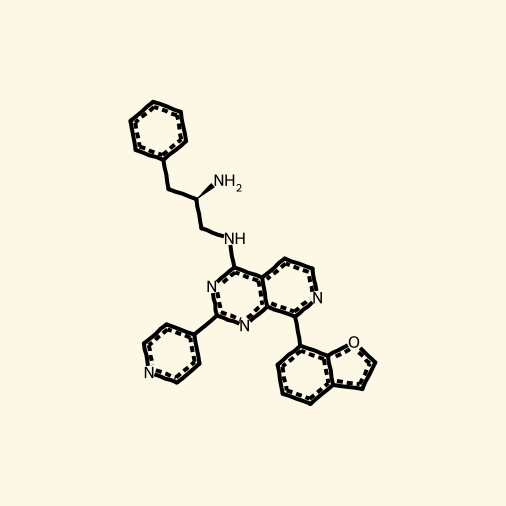 N[C@@H](CNc1nc(-c2ccncc2)nc2c(-c3cccc4ccoc34)nccc12)Cc1ccccc1